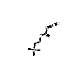 C[N+](C)(C)CCO[PH](=O)N=[N+]=[N-]